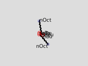 CCCCCCCC/C=C\CCCCCCC[C](=O)[Sn]([CH2]CCC)([O][Sn]([CH2]CCC)([CH2]CCC)[CH2]CCC)[C](=O)CCCCCCC/C=C\CCCCCCCC